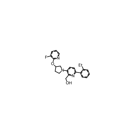 CCc1ccccc1-c1ccc(N2CCC(Oc3ncccc3F)C2)c(CO)n1